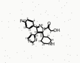 O=C(CO)n1nc(-c2ccc(F)cc2)c(-c2ccncn2)c1C1CCNCC1